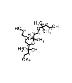 CC(=O)OCCC(C)(C)C(COCCO)OC(C)(C)CCOC(C)(C)CCO